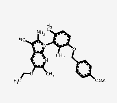 COc1ccc(COc2ccc(C)c(-n3c(N)c(C#N)c4cc(OCC(F)(F)F)c(C)nc43)c2C)cc1